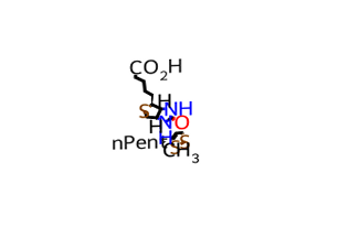 C1=CSSC1.CCCCCC.O=C(O)CCCC[C@@H]1SC[C@@H]2NC(=O)N[C@@H]21